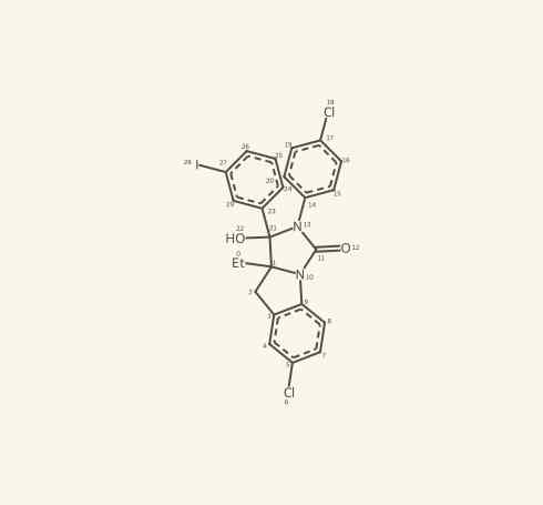 CCC12Cc3cc(Cl)ccc3N1C(=O)N(c1ccc(Cl)cc1)C2(O)c1cccc(I)c1